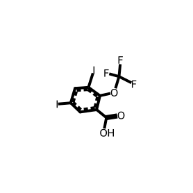 O=C(O)c1cc(I)cc(I)c1OC(F)(F)F